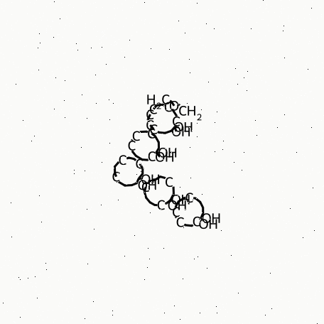 C=COC=C.OC1(O)CCCCCCCCCCCCCC1.OC1(O)CCCCCCCCCCCCCC1.OC1(O)CCCCCCCCCCCCCC1.OC1(O)CCCCCCCCCCCCCC1.OC1(O)CCCCCCCCCCCCCC1